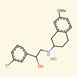 COc1ccc2c(c1)CC(NCC(O)c1cccc(Cl)c1)CC2.Cl